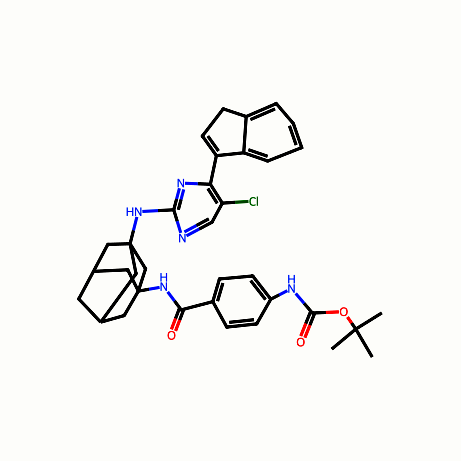 CC(C)(C)OC(=O)Nc1ccc(C(=O)NC23CC4CC(C2)CC(Nc2ncc(Cl)c(C5=CCc6ccccc65)n2)(C4)C3)cc1